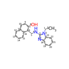 CCn1c(NCc2c(O)ccc3ccccc23)nc2ccccc21